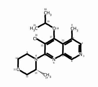 Cc1cncc2nc(N3CCOC[C@H]3C)c(Cl)c(OC(C)C)c12